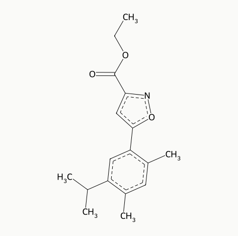 CCOC(=O)c1cc(-c2cc(C(C)C)c(C)cc2C)on1